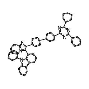 c1ccc(-c2nc(-c3ccccc3)nc(-c3ccc(-c4ccc(-c5nc6ccccn6c5-c5cccc6c7ccccc7n(-c7ccccc7)c56)cc4)cc3)n2)cc1